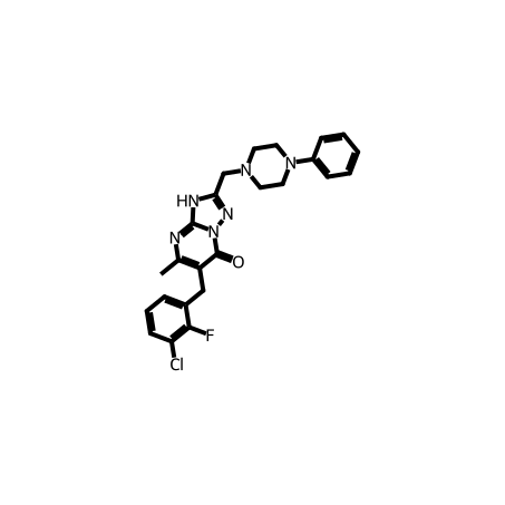 Cc1nc2[nH]c(CN3CCN(c4ccccc4)CC3)nn2c(=O)c1Cc1cccc(Cl)c1F